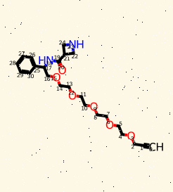 C#CCOCCOCCOCCOCCOCC(NC(=O)C1CNC1)c1ccccc1